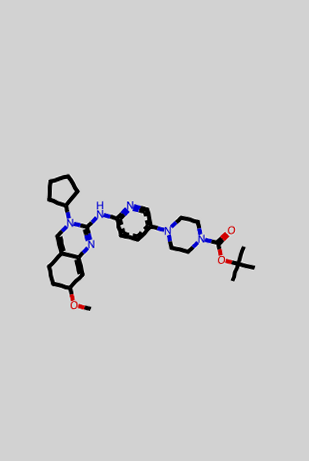 COC1C=C2N=C(Nc3ccc(N4CCN(C(=O)OC(C)(C)C)CC4)cn3)N(C3CCCC3)C=C2CC1